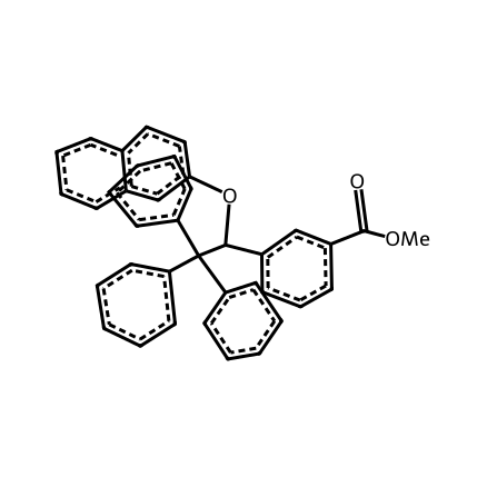 COC(=O)c1cccc(C(Oc2ccc3ccccc3c2)C(c2ccccc2)(c2ccccc2)c2ccccc2)c1